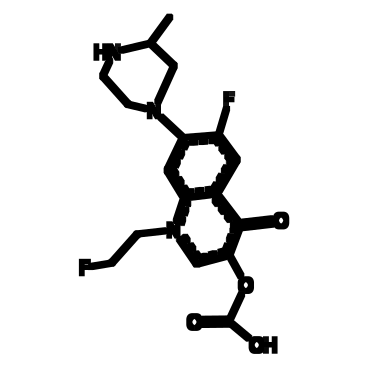 CC1CN(c2cc3c(cc2F)c(=O)c(OC(=O)O)cn3CCF)CCN1